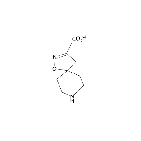 O=C(O)C1=NOC2(CCNCC2)C1